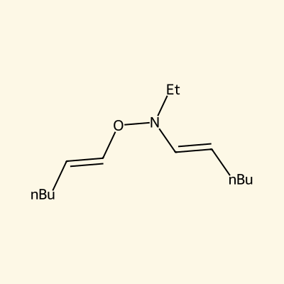 CCCC/C=C/ON(/C=C/CCCC)CC